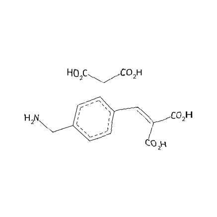 NCc1ccc(C=C(C(=O)O)C(=O)O)cc1.O=C(O)CC(=O)O